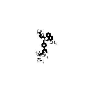 CCOC(=O)C(C)(C)c1cc(-c2ccc(CN(Cc3ccc(C(F)(F)F)o3)Cc3c(C)ccc4ccccc34)cc2)ccn1